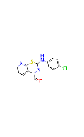 O=CC1N=C(Nc2ccc(Cl)cc2)Sc2ncccc21